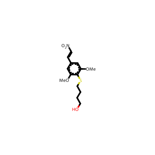 COc1cc(C=C[N+](=O)[O-])cc(OC)c1SCCCCO